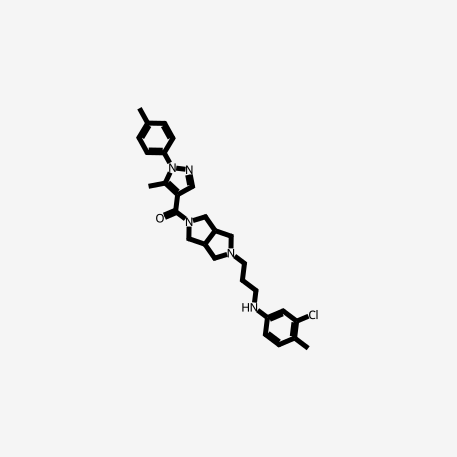 Cc1ccc(-n2ncc(C(=O)N3CC4CN(CCCNc5ccc(C)c(Cl)c5)CC4C3)c2C)cc1